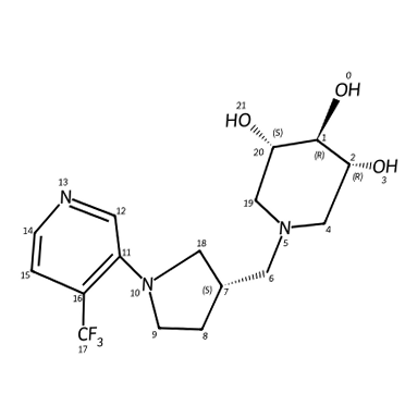 O[C@H]1[C@H](O)CN(C[C@@H]2CCN(c3cnccc3C(F)(F)F)C2)C[C@@H]1O